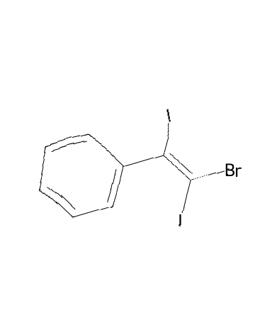 BrC(I)=C(I)c1ccccc1